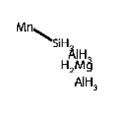 [AlH3].[AlH3].[MgH2].[SiH3][Mn]